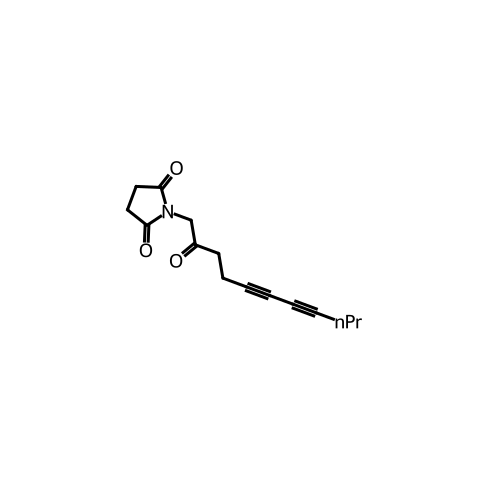 CCCC#CC#CCCC(=O)CN1C(=O)CCC1=O